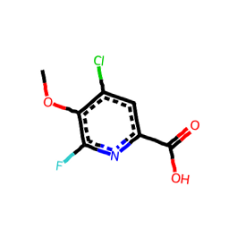 COc1c(Cl)cc(C(=O)O)nc1F